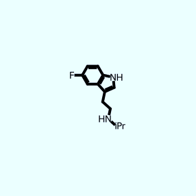 CC(C)NCCc1c[nH]c2ccc(F)cc12